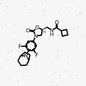 O=C(NC[C@H]1CN(c2cc(F)c(N3C4CCCC3CC4)c(F)c2)C(=O)O1)C1CCC1